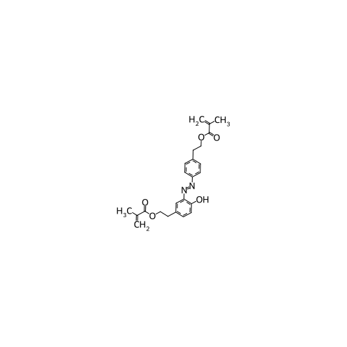 C=C(C)C(=O)OCCc1ccc(/N=N/c2cc(CCOC(=O)C(=C)C)ccc2O)cc1